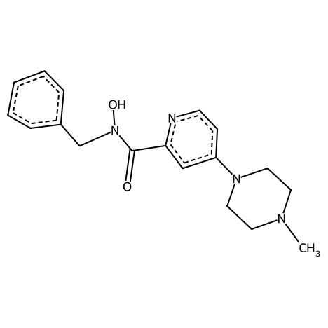 CN1CCN(c2ccnc(C(=O)N(O)Cc3ccccc3)c2)CC1